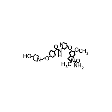 COc1cc2c(cc1Oc1ccnc(NC(=O)c3ccc(OCCN4CCC(O)CC4)cc3)c1)cc(C)n2C(N)=O